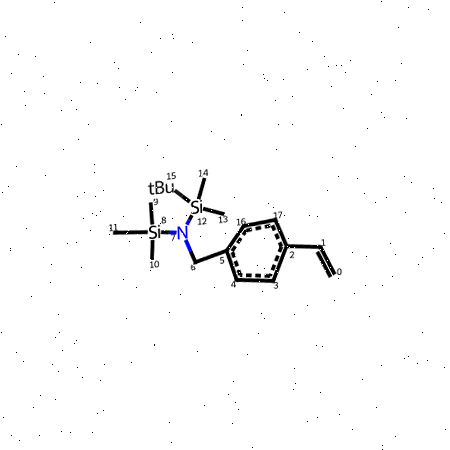 C=Cc1ccc(CN([Si](C)(C)C)[Si](C)(C)C(C)(C)C)cc1